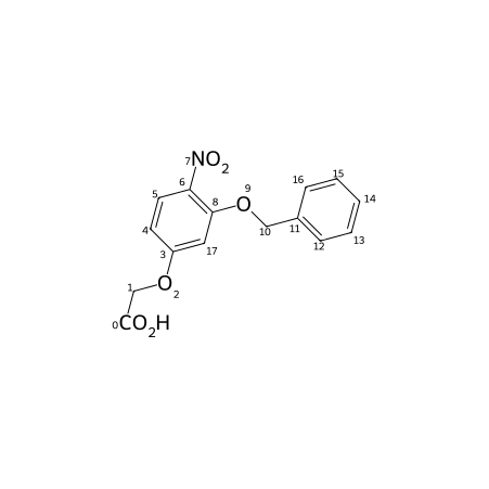 O=C(O)COc1ccc([N+](=O)[O-])c(OCc2ccccc2)c1